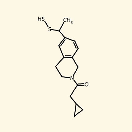 CC(SS)c1ccc2c(c1)CCN(C(=O)CC1CC1)C2